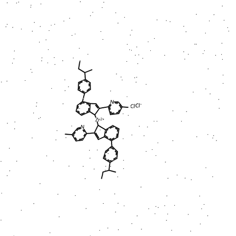 CCC(C)c1ccc(-c2cccc3c2C=C(c2ccc(C)cn2)[CH]3[Zr+2][CH]2C(c3ccc(C)cn3)=Cc3c(-c4ccc(C(C)CC)cc4)cccc32)cc1.[Cl-].[Cl-]